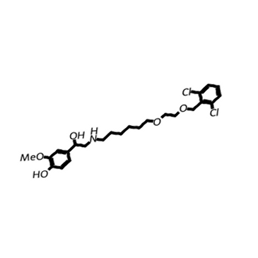 COc1cc(C(O)CNCCCCCCOCCOCc2c(Cl)cccc2Cl)ccc1O